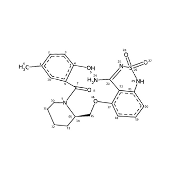 Cc1ccc(O)c(C(=O)N2CCCC[C@@H]2COc2cccc3c2C(N)=NS(=O)(=O)N3)c1